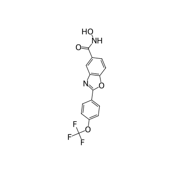 O=C(NO)c1ccc2oc(-c3ccc(OC(F)(F)F)cc3)nc2c1